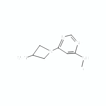 CCNc1cc(N2CC(NC)C2)ncn1